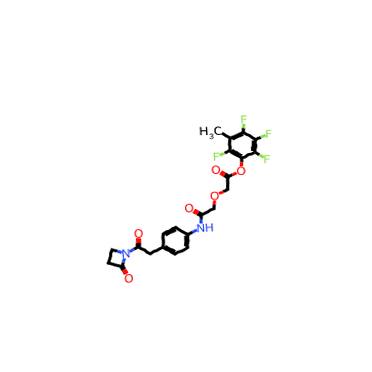 Cc1c(F)c(F)c(F)c(OC(=O)COCC(=O)Nc2ccc(CC(=O)N3CCC3=O)cc2)c1F